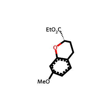 CCOC(=O)[C@@H]1CCc2ccc(OC)cc2O1